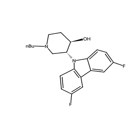 CCCCN1CC[C@@H](O)[C@H](n2c3ccc(F)cc3c3cc(F)ccc32)C1